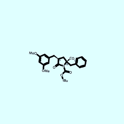 COc1cc(C[C@H]2C[C@@](Cc3ccccc3)(C(=O)O)N(C(=O)OC(C)(C)C)C2=O)cc(OC)c1